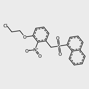 O=[N+]([O-])c1c(CS(=O)(=O)c2cccc3ccccc23)cccc1OCCCl